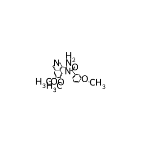 CCOc1cccc(C(=O)N=C(N)c2cncc3cc(OC)c(OC)cc23)c1